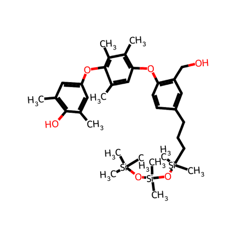 Cc1cc(Oc2c(C)cc(Oc3ccc(CCC[Si](C)(C)O[Si](C)(C)O[Si](C)(C)C)cc3CO)c(C)c2C)cc(C)c1O